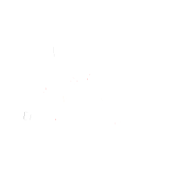 CCOP(=O)(OCC)C(C)S(=O)(=O)c1ccccc1